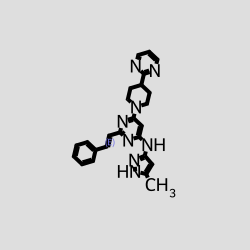 Cc1cc(Nc2cc(N3CCC(c4ncccn4)CC3)nc(/C=C/c3ccccc3)n2)n[nH]1